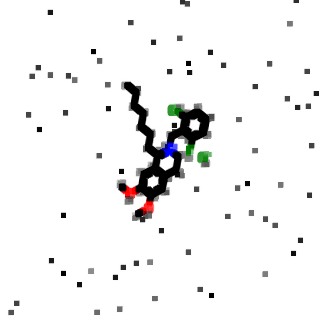 CCCCCCCC1=[N+](Cc2c(F)cccc2Cl)CCc2cc(OC)c(OC)cc21.[Cl-]